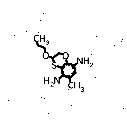 CCCOC1COc2c(N)cc(C)c(N)c2S1